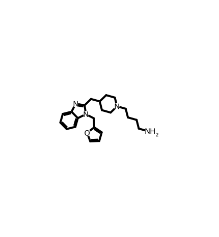 NCCCCN1CCC(Cc2nc3ccccc3n2Cc2ccco2)CC1